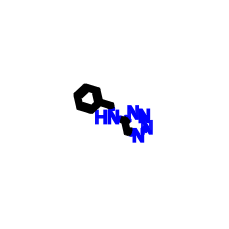 c1ccc(CNc2cnnnn2)cc1